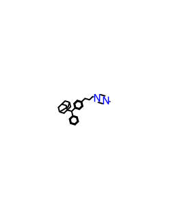 CN1CCN(CCCc2ccc(C(c3ccccc3)C34CC5CC(CC(C5)C3)C4)cc2)CC1